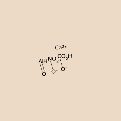 O=C([O-])O.O=[N+]([O-])[O-].[Ca+2].[O]=[AlH]